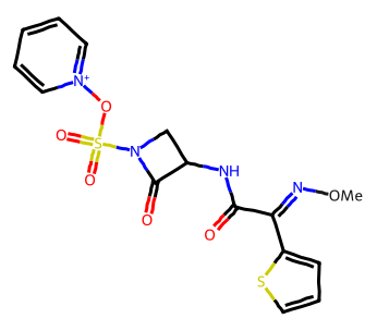 CON=C(C(=O)NC1CN(S(=O)(=O)O[n+]2ccccc2)C1=O)c1cccs1